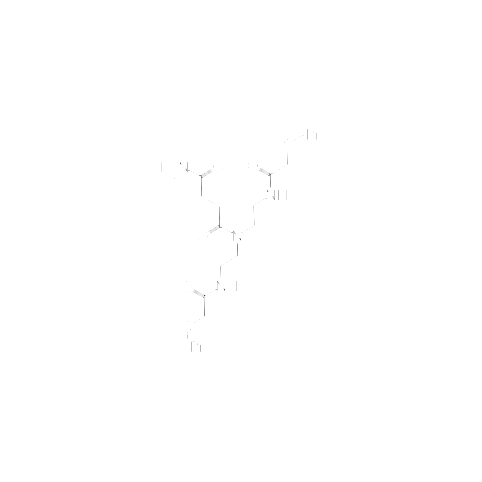 CC(C)SCC(=O)NCCN(CCNC(=O)CSC(C)C)C(=O)CCC(N)=O